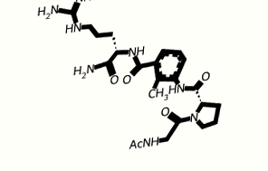 CC(=O)NCC(=O)N1CCC[C@H]1C(=O)Nc1cccc(C(=O)N[C@@H](CCCNC(=N)N)C(N)=O)c1C